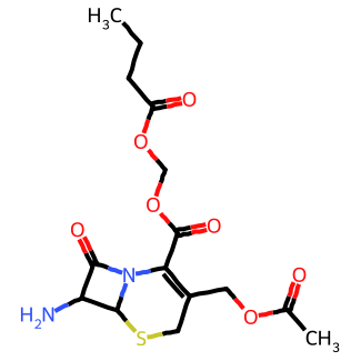 CCCC(=O)OCOC(=O)C1=C(COC(C)=O)CSC2C(N)C(=O)N12